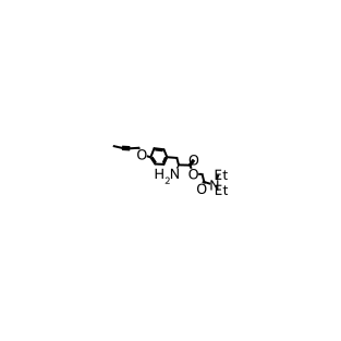 CC#CCOc1ccc(C[C@H](N)C(=O)OCC(=O)N(CC)CC)cc1